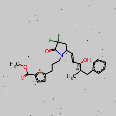 COC(=O)c1ccc(CCCN2C(=O)C(F)(F)CC2C=C[C@@H](O)[C@H](C)Cc2ccccc2)s1